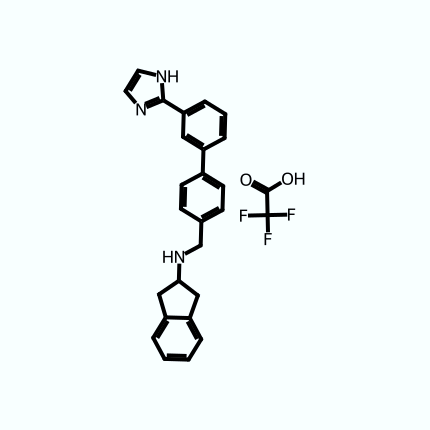 O=C(O)C(F)(F)F.c1cc(-c2ccc(CNC3Cc4ccccc4C3)cc2)cc(-c2ncc[nH]2)c1